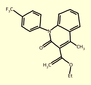 C=C(OCC)c1c(C)c2ccccc2n(-c2ccc(C(F)(F)F)cc2)c1=O